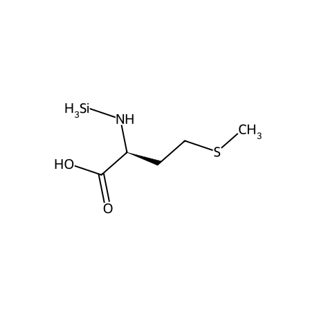 CSCC[C@H](N[SiH3])C(=O)O